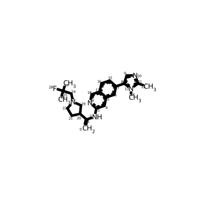 C=C(Nc1cc2cc(-c3cnc(C)n3C)ccc2cn1)C1CCN(CC(C)(C)F)C1